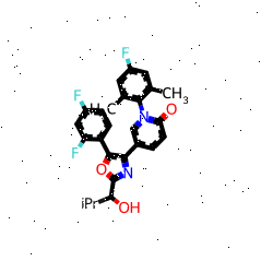 Cc1cc(F)cc(C)c1-n1cc(-c2nc(C(O)C(C)C)oc2-c2ccc(F)cc2F)ccc1=O